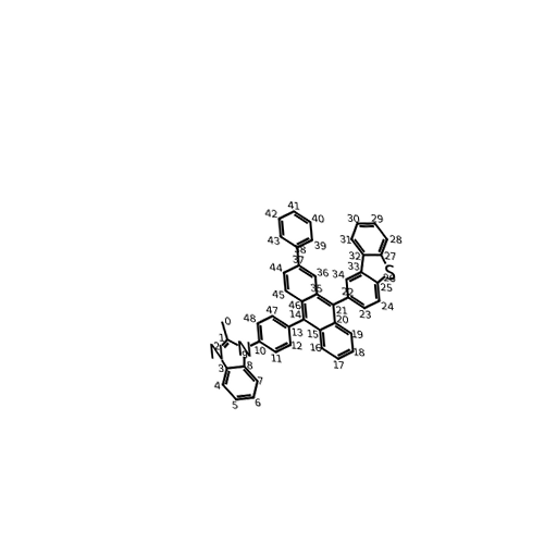 Cc1nc2ccccc2n1-c1ccc(-c2c3ccccc3c(-c3ccc4sc5ccccc5c4c3)c3cc(-c4ccccc4)ccc23)cc1